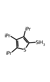 CC(C)c1sc([SiH3])c(C(C)C)c1C(C)C